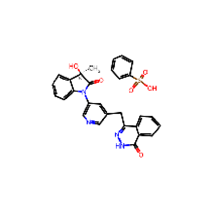 C[C@]1(O)C(=O)N(c2cncc(Cc3n[nH]c(=O)c4ccccc34)c2)c2ccccc21.O=S(=O)(O)c1ccccc1